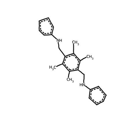 Cc1c(C)c(CNc2ccccc2)c(C)c(C)c1CNc1ccccc1